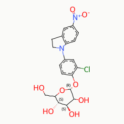 O=[N+]([O-])c1ccc2c(c1)CCN2c1ccc(O[C@H]2OC(CO)[C@@H](O)[C@H](O)C2O)c(Cl)c1